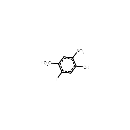 O=C(O)c1cc([N+](=O)[O-])c(O)cc1F